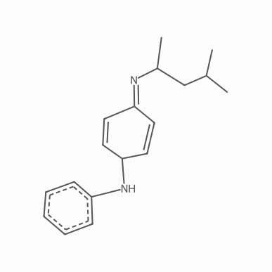 CC(C)CC(C)N=C1C=CC(Nc2ccccc2)C=C1